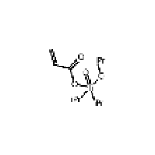 C=CC(=O)[O][Ti](=[O])([O]C(C)C)([CH](C)C)[CH](C)C